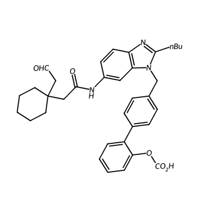 CCCCc1nc2ccc(NC(=O)CC3(CC=O)CCCCC3)cc2n1Cc1ccc(-c2ccccc2OC(=O)O)cc1